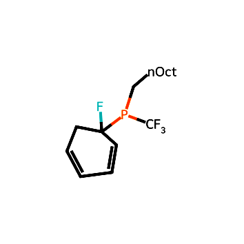 CCCCCCCCCP(C(F)(F)F)C1(F)C=CC=CC1